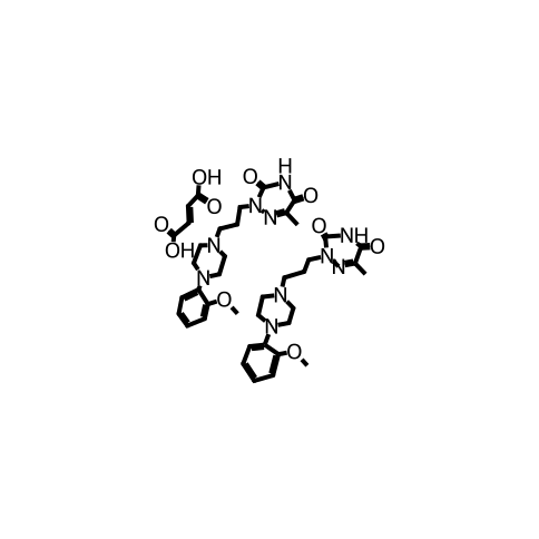 COc1ccccc1N1CCN(CCCn2nc(C)c(=O)[nH]c2=O)CC1.COc1ccccc1N1CCN(CCCn2nc(C)c(=O)[nH]c2=O)CC1.O=C(O)C=CC(=O)O